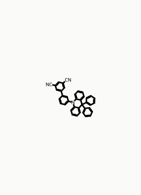 N#Cc1cc(C#N)cc(-c2cccc(N3c4ccccc4C(c4ccccc4)(c4ccccc4)c4ccccc43)c2)c1